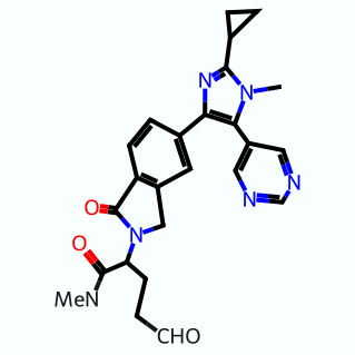 CNC(=O)C(CCC=O)N1Cc2cc(-c3nc(C4CC4)n(C)c3-c3cncnc3)ccc2C1=O